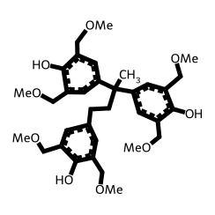 COCc1cc(CCC(C)(c2cc(COC)c(O)c(COC)c2)c2cc(COC)c(O)c(COC)c2)cc(COC)c1O